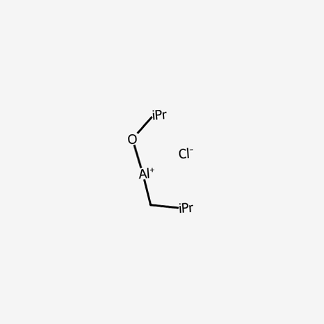 CC(C)[CH2][Al+][O]C(C)C.[Cl-]